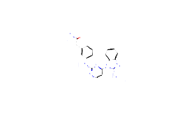 NC(=O)Cc1cccc(Nc2nccc(-n3c(N)nc4ccccc43)n2)c1